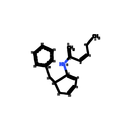 C=C(/C=C\CC)NC1=CC=CCC1Cc1ccccc1